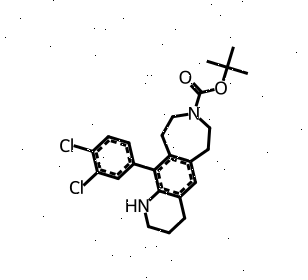 CC(C)(C)OC(=O)N1CCc2cc3c(c(-c4ccc(Cl)c(Cl)c4)c2CC1)NCCC3